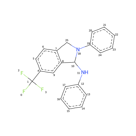 FC(F)(F)c1ccc2c(c1)C(Nc1ccccc1)N(c1ccccc1)C2